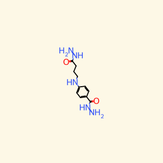 NNC(=O)CCCNc1ccc(C(=O)NN)cc1